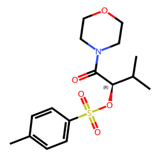 Cc1ccc(S(=O)(=O)O[C@@H](C(=O)N2CCOCC2)C(C)C)cc1